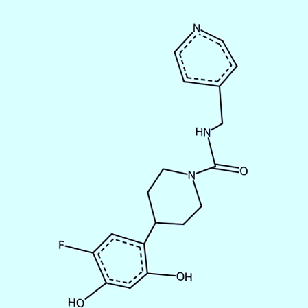 O=C(NCc1ccncc1)N1CCC(c2cc(F)c(O)cc2O)CC1